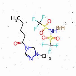 Br.CCCCC(=O)N1C=NN(C)C1.O=S(=O)(NS(=O)(=O)C(F)(F)F)C(F)(F)F